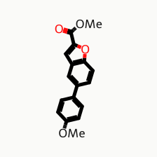 COC(=O)c1cc2cc(-c3ccc(OC)cc3)ccc2o1